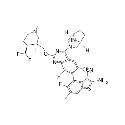 Cc1cc2sc(N)c(C#N)c2c(-c2c(C(F)(F)F)cc3c(N4C[C@H]5CC[C@@H](C4)N5)nc(OC[C@]4(C)CN(C)CC[C@@H]4C(F)F)nc3c2F)c1F